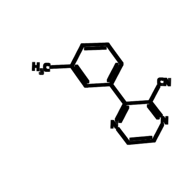 Cc1cccc(-c2nccnc2C#N)c1